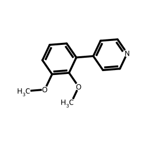 COc1cccc(-c2ccncc2)c1OC